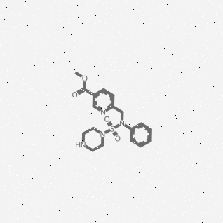 COC(=O)c1ccc(CN(c2ccccc2)S(=O)(=O)N2CCNCC2)nc1